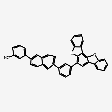 N#Cc1cccc(-c2ccc3cc(-c4cccc(-c5cc6c7ccccc7oc6c6c5oc5ccccc56)c4)ccc3c2)c1